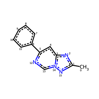 Cc1nc2cc(-c3ccccc3)ncn2n1